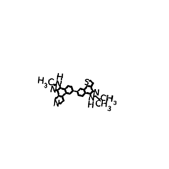 Cc1nc2c3cnccc3c3cc(-c4ccc5c(c4)c4sccc4c4nc(C(C)C)[nH]c54)ccc3c2[nH]1